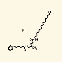 C=C(COC(=O)CCCCC[n+]1ccccc1)COC(=O)NCCCCCCCCCCCCCCC.[Br-]